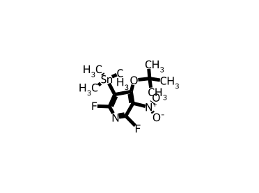 CC(C)(C)Oc1c([N+](=O)[O-])c(F)nc(F)[c]1[Sn]([CH3])([CH3])[CH3]